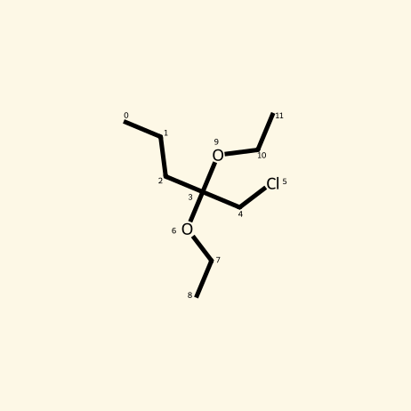 CCCC(CCl)(OCC)OCC